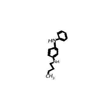 CCCCNc1ccc(Nc2ccccc2)cc1